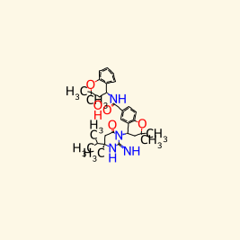 CC(C)[C@]1(C)CC(=O)N([C@@H]2CC(C)(C)Oc3ccc(C(=O)N[C@@H]4c5ccccc5OC(C)(C)[C@H]4O)cc32)C(=N)N1